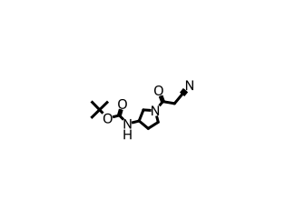 CC(C)(C)OC(=O)NC1CCN(C(=O)CC#N)C1